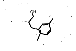 Cc1ccc(C)c(C[C@H](C)CO)c1